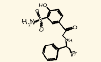 CC(C)C(NCC(=O)c1ccc(O)c(S(N)(=O)=O)c1)c1ccccc1